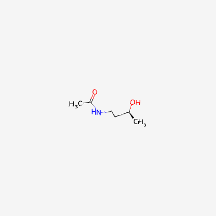 CC(=O)NCC[C@H](C)O